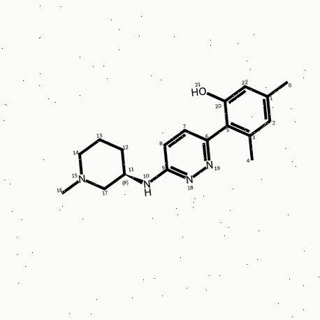 Cc1cc(C)c(-c2ccc(N[C@@H]3CCCN(C)C3)nn2)c(O)c1